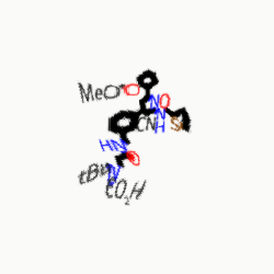 COCOc1ccccc1-c1cc(-c2cccc(CNC(=O)CCN(C(=O)O)C(C)(C)C)c2)c(C#N)c(NC(=O)c2cccs2)n1